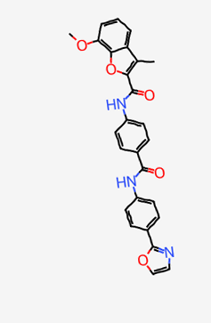 COc1cccc2c(C)c(C(=O)Nc3ccc(C(=O)Nc4ccc(-c5ncco5)cc4)cc3)oc12